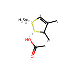 CC(=O)O.CC1=CSSC1C.[SnH2]